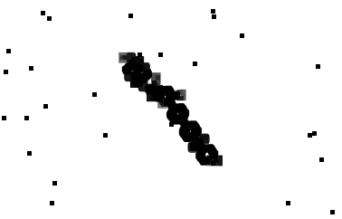 O=S(=O)(c1ccc(-c2ccc(-c3nc4nc(O[C@@H]5CO[C@H]6[C@@H]5OC[C@H]6O)[nH]c4cc3Cl)cc2)cc1)C1CCNCC1